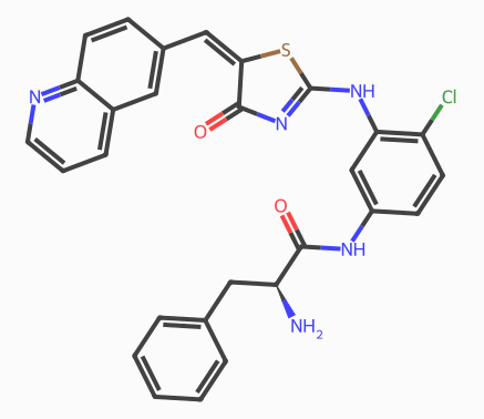 N[C@@H](Cc1ccccc1)C(=O)Nc1ccc(Cl)c(NC2=NC(=O)C(=Cc3ccc4ncccc4c3)S2)c1